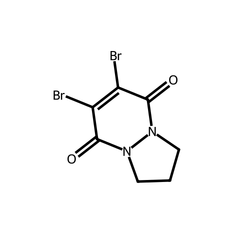 O=c1c(Br)c(Br)c(=O)n2n1CCC2